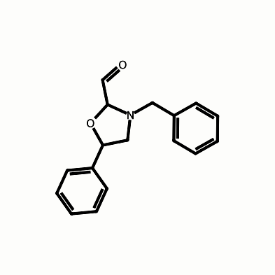 O=CC1OC(c2ccccc2)CN1Cc1ccccc1